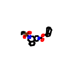 CC(C)S(=O)(=O)N1Cc2ccccc2C2(CCN(C(=O)OC3C4CC5CC(C4)CC3C5)CC2)C1